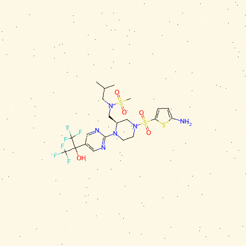 CC(C)CN(C[C@H]1CN(S(=O)(=O)c2ccc(N)s2)CCN1c1ncc(C(O)(C(F)(F)F)C(F)(F)F)cn1)S(C)(=O)=O